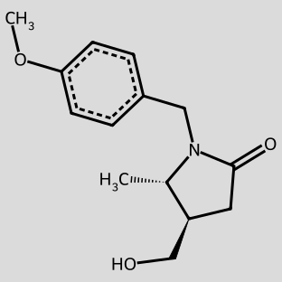 COc1ccc(CN2C(=O)C[C@@H](CO)[C@@H]2C)cc1